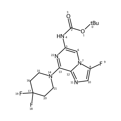 CC(C)(C)OC(=O)Nc1cn2c(F)cnc2c(N2CCC(F)(F)CC2)n1